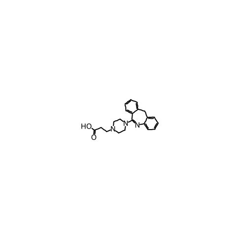 O=C(O)CCN1CCN(C2=Nc3ccccc3Cc3ccccc32)CC1